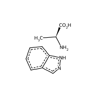 C[C@H](N)C(=O)O.c1ccc2[nH]ncc2c1